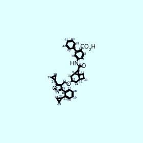 O=C(O)c1ccc(NC(=O)C2C3CC(OCc4c(-c5ccccc5C5CC5)noc4C4CC4)CC4CCC432)cc1-c1ccccc1